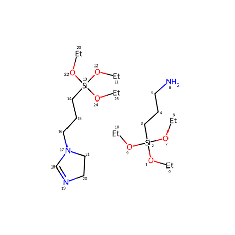 CCO[Si](CCCN)(OCC)OCC.CCO[Si](CCCN1C=NCC1)(OCC)OCC